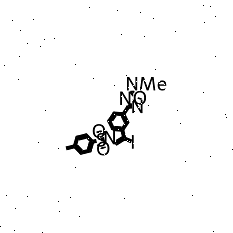 CNc1nc(-c2ccc3c(c2)c(I)cn3S(=O)(=O)c2ccc(C)cc2)no1